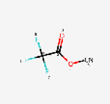 N#COC(=O)C(F)(F)F